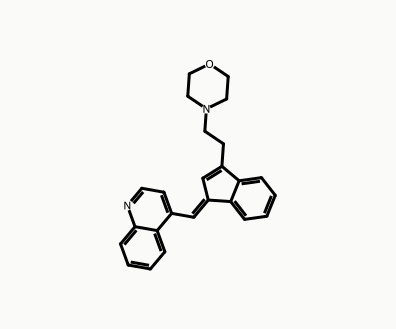 C1=C(CCN2CCOCC2)c2ccccc2/C1=C/c1ccnc2ccccc12